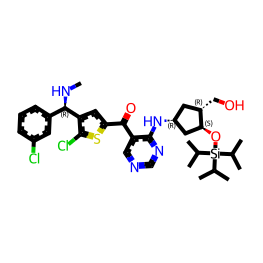 CN[C@H](c1cccc(Cl)c1)c1cc(C(=O)c2cncnc2N[C@@H]2C[C@H](CO)[C@@H](O[Si](C(C)C)(C(C)C)C(C)C)C2)sc1Cl